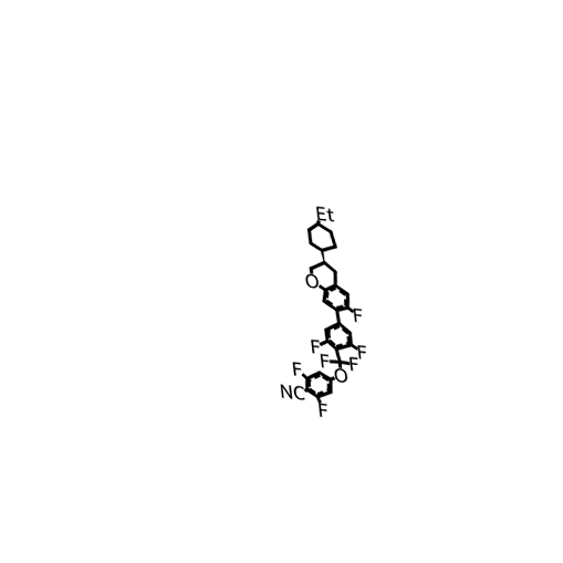 CCC1CCC([C@@H]2COc3cc(-c4cc(F)c(C(F)(F)Oc5cc(F)c(C#N)c(F)c5)c(F)c4)c(F)cc3C2)CC1